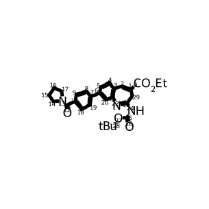 CCOC(=O)C1=Cc2ccc(-c3ccc(C(=O)N4CCCC4)cc3)cc2N=C(NC(=O)OC(C)(C)C)C1